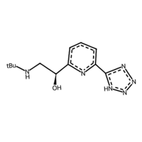 CC(C)(C)NC[C@H](O)c1cccc(-c2nnn[nH]2)n1